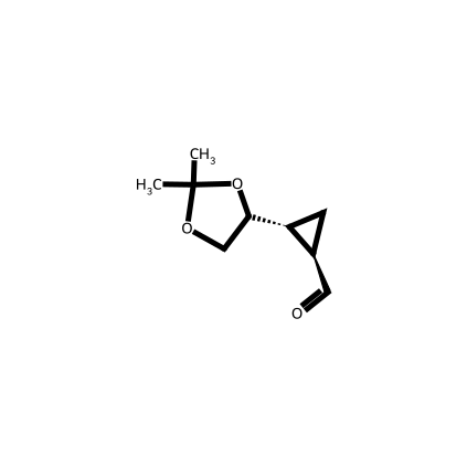 CC1(C)OCC([C@@H]2C[C@H]2C=O)O1